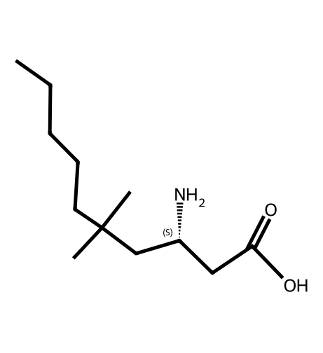 CCCCCC(C)(C)C[C@H](N)CC(=O)O